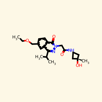 CCOCc1ccc2c(=O)n(CC(=O)N[C@H]3C[C@@](C)(O)C3)nc(C(C)C)c2c1